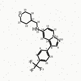 FC(F)(F)c1ccc(-c2cnn3ccc(NCC4CCOCC4)cc23)cc1